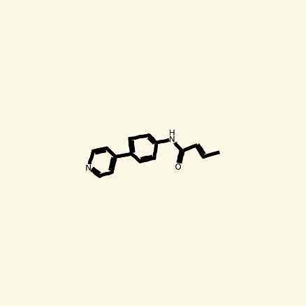 CC=CC(=O)Nc1ccc(-c2ccncc2)cc1